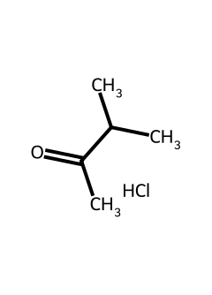 CC(=O)C(C)C.Cl